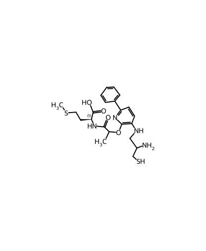 CSCC[C@H](NC(=O)C(C)Oc1nc(-c2ccccc2)ccc1NCC(N)CS)C(=O)O